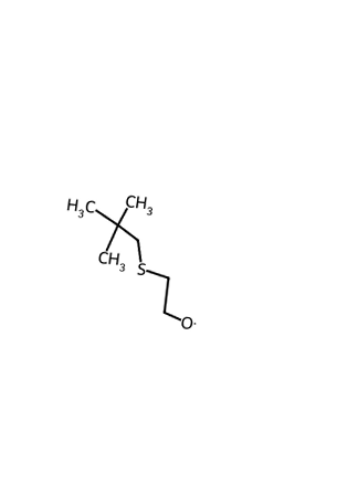 CC(C)(C)CSCC[O]